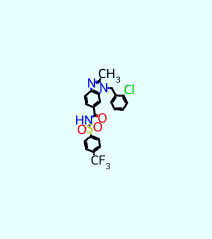 Cc1nc2ccc(C(=O)NS(=O)(=O)c3ccc(C(F)(F)F)cc3)cc2n1Cc1ccccc1Cl